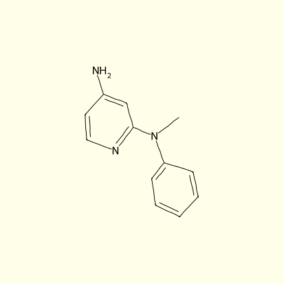 CN(c1ccccc1)c1cc(N)ccn1